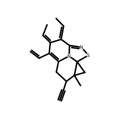 C#CC1CC2=C(C=C)C(=C/C)/C(=C\C)C3=NSC4(CC14C)N32